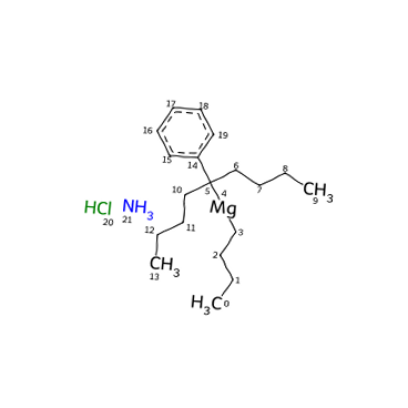 CCC[CH2][Mg][C](CCCC)(CCCC)c1ccccc1.Cl.N